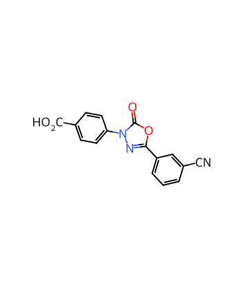 N#Cc1cccc(-c2nn(-c3ccc(C(=O)O)cc3)c(=O)o2)c1